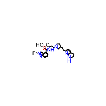 CC(C)n1cc2c(C(=O)NC(CCN3CCC(CCc4ccc5c(n4)NCCC5)C3)C(=O)O)cccc2n1